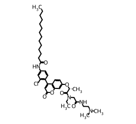 CCCCCCCCCCCCCC(=O)Nc1ccc(-c2cc(=O)oc3cc(O[C@H](C)C(=O)N(CC)CC(=O)NCCN(C)C)ccc23)c(Cl)c1